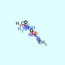 Cc1cccc(F)c1C(=O)n1nc(Nc2ccc(S(=O)(=O)NC(=O)CCN3CCN(C)CC3)cc2)nc1N